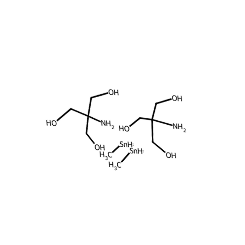 NC(CO)(CO)CO.NC(CO)(CO)CO.[CH3][SnH].[CH3][SnH]